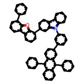 c1ccc(-c2c3ccccc3c(-c3ccccc3)c3cc(-c4cccc(-n5c6ccccc6c6ccc(-c7cccc8c7oc7c(-c9ccccc9)cccc78)cc65)c4)ccc23)cc1